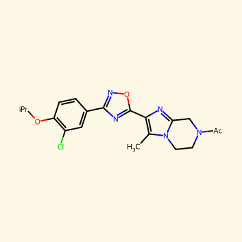 CC(=O)N1CCn2c(nc(-c3nc(-c4ccc(OC(C)C)c(Cl)c4)no3)c2C)C1